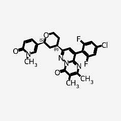 Cc1nc2c(-c3c(F)cc(Cl)cc3F)cc([C@@H]3CCO[C@H](c4ccc(=O)n(C)c4)C3)nn2c(=O)c1C